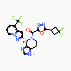 O=C(c1nnc(C2CC(F)(F)C2)o1)N1CCc2[nH]cnc2[C@@H]1c1cc2c(C(F)(F)F)cccn2n1